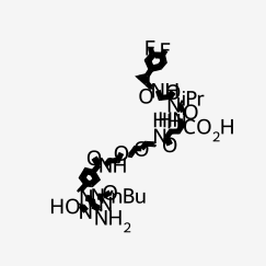 CCCCOc1nc(N)c2nc(O)n(Cc3ccc(C(=O)NCCOCCOCCNC(=O)CC[C@@H](NC(=O)[C@@H](NC(=O)CNC(=O)C4CC4c4ccc(F)c(F)c4)C(C)C)C(=O)O)cc3)c2n1